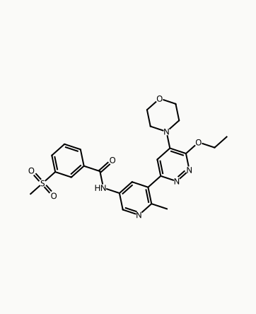 CCOc1nnc(-c2cc(NC(=O)c3cccc(S(C)(=O)=O)c3)cnc2C)cc1N1CCOCC1